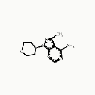 Cc1nn(C2CCOCC2)c2ncnc(N)c12